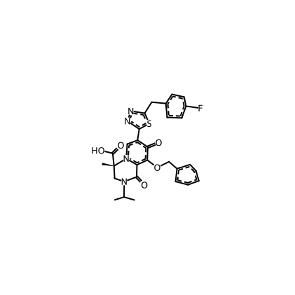 CC(C)N1C[C@](C)(C(=O)O)n2cc(-c3nnc(Cc4ccc(F)cc4)s3)c(=O)c(OCc3ccccc3)c2C1=O